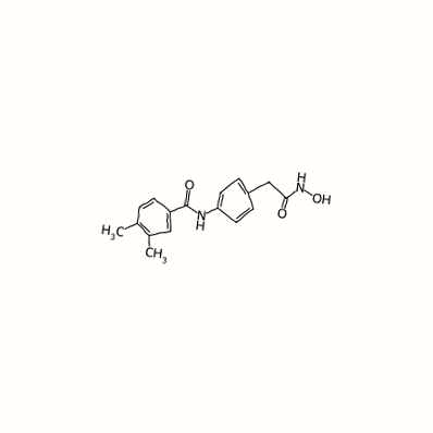 Cc1ccc(C(=O)Nc2ccc(CC(=O)NO)cc2)cc1C